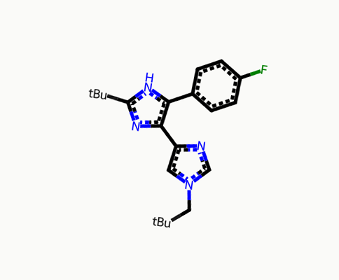 CC(C)(C)Cn1cnc(-c2nc(C(C)(C)C)[nH]c2-c2ccc(F)cc2)c1